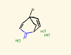 Cl.Cl.Cl.[Zr][C]12C=CNC(C=C1)C2